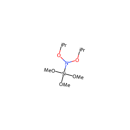 CO[Si](OC)(OC)N(OC(C)C)OC(C)C